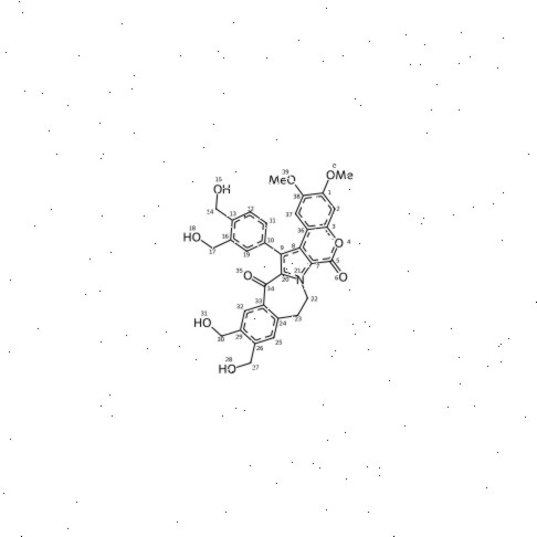 COc1cc2oc(=O)c3c(c(-c4ccc(CO)c(CO)c4)c4n3CCc3cc(CO)c(CO)cc3C4=O)c2cc1OC